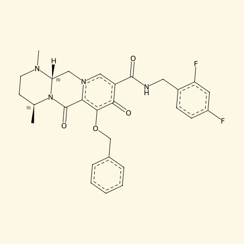 C[C@H]1CCN(C)[C@@H]2Cn3cc(C(=O)NCc4ccc(F)cc4F)c(=O)c(OCc4ccccc4)c3C(=O)N12